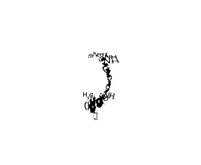 CCCCCNC(=O)NCCOCCOCCOCCNS(=O)(=O)c1cccc([C@@H]2CN(C)Cc3c(Cl)cc(Cl)cc32)c1